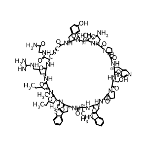 CCCC[C@H]1C(=O)N(C)[C@@H](CCCC)C(=O)N[C@@H](CCCNC(=N)N)C(=O)NC(C(=O)NCC(N)=O)CSCC(=O)N[C@@H](Cc2ccc(O)cc2)C(=O)N(C)[C@@H](C)C(=O)N[C@@H](CC(N)=O)C(=O)N2CCC[C@H]2C(=O)N[C@@H](Cc2cnc[nH]2)C(=O)N[C@@H](CO)C(=O)N2CCC[C@H]2C(=O)N[C@@H](Cc2c[nH]c3ccccc23)C(=O)N[C@@H](C)C(=O)N[C@@H](Cc2csc3ccccc23)C(=O)N1C